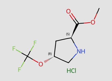 COC(=O)[C@@H]1C[C@@H](OC(F)(F)F)CN1.Cl